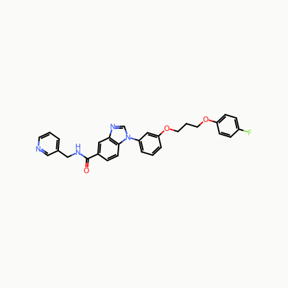 O=C(NCc1cccnc1)c1ccc2c(c1)ncn2-c1cccc(OCCCOc2ccc(F)cc2)c1